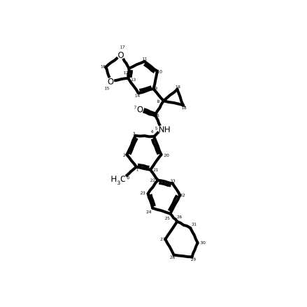 Cc1ccc(NC(=O)C2(c3ccc4c(c3)OCO4)CC2)cc1-c1ccc(C2CCCCC2)cc1